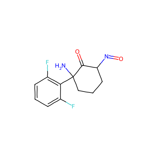 NC1(c2c(F)cccc2F)CCCC(N=O)C1=O